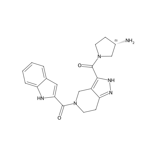 N[C@H]1CCN(C(=O)c2[nH]nc3c2CN(C(=O)c2cc4ccccc4[nH]2)CC3)C1